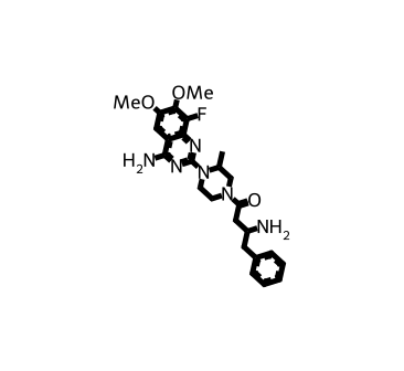 COc1cc2c(N)nc(N3CCN(C(=O)CC(N)Cc4ccccc4)CC3C)nc2c(F)c1OC